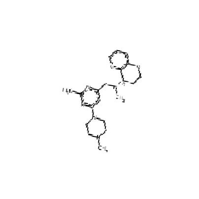 Cc1nc(CN(C)[C@H]2CCOc3cccnc32)cc(N2CCN(C)CC2)n1